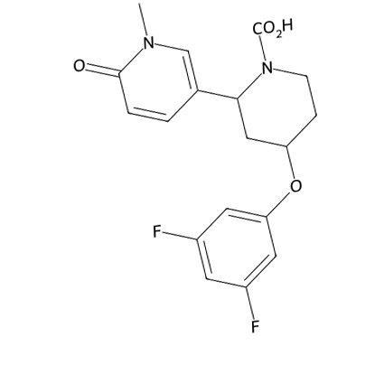 Cn1cc(C2CC(Oc3cc(F)cc(F)c3)CCN2C(=O)O)ccc1=O